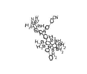 Bc1c(B)c(B)c(-c2ccc3c4cc(-c5c(B)c(B)c6c(c5B)c5c(B)c(B)c(B)c(B)c5n6-c5cccc(-c6ccccc6)c5)ccc4n(-c4ccc(-c5ccc(C#N)cc5)cc4)c3c2)c(B)c1B